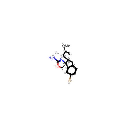 CO[C@H]1CC[C@@]2(Cc3ccc(Br)cc3[C@@]23COC(N)=N3)C[C@@H]1C